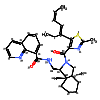 C/C=C\C=C(/CC)c1sc(C)nc1C(=O)N1C[C@H]2CCCC[C@@H]2[C@H]1CNC(=O)c1cccc2cccnc12